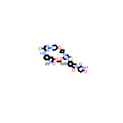 CNC(=O)COc1cc2cc(Nc3nc(N4CCC(OC5CC(N6CCN(c7ccc8c(c7F)CN(C7CCC(=O)NC7=O)C8=O)[C@H](C)C6)C5)CC4)ncc3Cl)ccc2n(C(C)C)c1=O